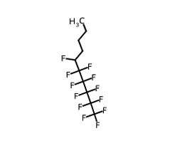 CCCCC(F)C(F)(F)C(F)(F)C(F)(F)C(F)(F)C(F)(F)F